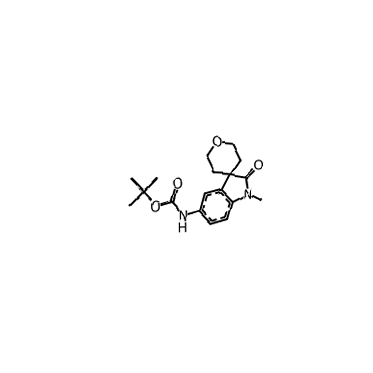 CN1C(=O)C2(CCOCC2)c2cc(NC(=O)OC(C)(C)C)ccc21